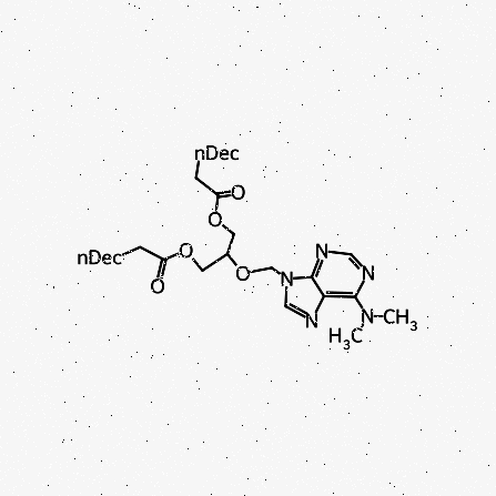 CCCCCCCCCCCC(=O)OCC(COC(=O)CCCCCCCCCCC)OCn1cnc2c(N(C)C)ncnc21